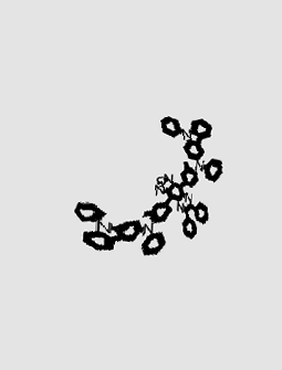 Cc1cc(-c2c3nsnc3c(-c3ccc(N(c4ccccc4)c4ccc5c(c4)c4ccccc4n5-c4ccccc4)c(C)c3)c3nc(-c4ccccc4)c(-c4ccccc4)nc23)ccc1N(c1ccccc1)c1ccc2c(c1)c1ccccc1n2-c1ccccc1